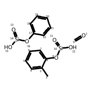 C=O.Cc1ccccc1O[Si](=O)O.O=[Si](O)Oc1ccccc1